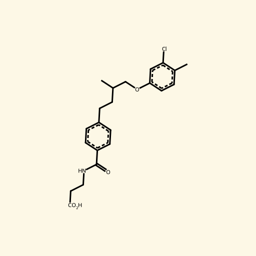 Cc1ccc(OCC(C)CCc2ccc(C(=O)NCCC(=O)O)cc2)cc1Cl